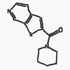 O=C(c1cc2ccncc2s1)N1CCCCC1